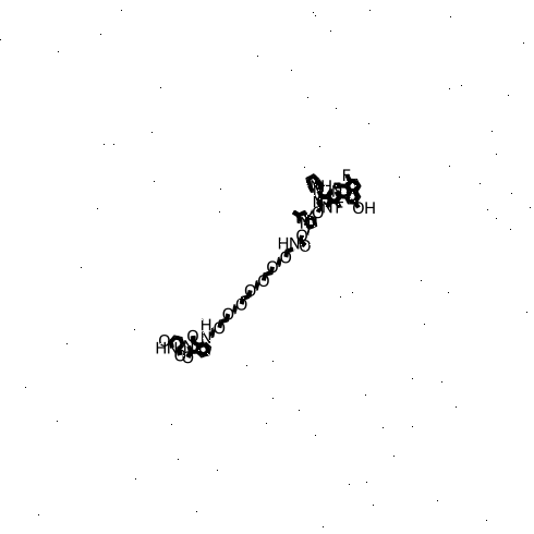 C#Cc1c(F)ccc2cc(O)cc(-c3ncc4c(N5CC6CCC(C5)N6)nc(OC[C@@]56CC[C@@H](COC(=O)NCCOCCOCCOCCOCCOCCOCCOCCNc7cccc8c7C(=O)N(C7CCC(=O)NC7=O)C8=O)N5CC(=C)C6)nc4c3F)c12